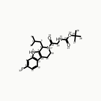 CC(C)CC1c2[nH]c3cc(F)ccc3c2CCN1C(=O)CNC(=O)OC(C)(C)C